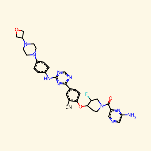 N#Cc1cc(-c2ncnc(Nc3ccc(N4CCN(C5COC5)CC4)cc3)n2)ccc1OC1CCN(C(=O)c2cncc(N)n2)CC1F